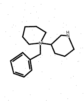 c1ccc(C[N+]2(C3CCCNC3)CCCCC2)cc1